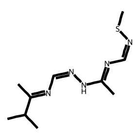 CS/N=C\N=C(/C)N/N=C\N=C(/C)C(C)C